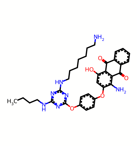 CCCCNc1nc(NCCCCCCCN)nc(Oc2ccc(Oc3cc(O)c4c(c3N)C(=O)c3ccccc3C4=O)cc2)n1